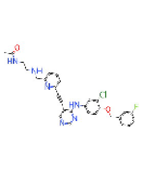 CC(=O)NCCNCc1cccc(C#Cc2cncnc2Nc2ccc(OCc3cccc(F)c3)c(Cl)c2)n1